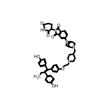 CCC(=C(c1ccc(O)cc1)c1ccc(OCCN2CCC(CN3CC4CC3CN4c3ccc4c(c3)C(=O)N(C3CCC(=O)NC3=O)C4=O)CC2)cc1)c1ccc(O)cc1